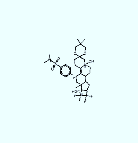 CN(C)S(=O)(=O)c1ccc([C@H]2CC3(C)C(CC[C@@]3(O)[C@@](C)(F)C(F)(F)F)C3CC[C@@]4(O)CC5(CCC4=C32)OCC(C)(C)CO5)cc1